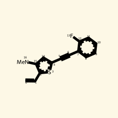 C=Cc1sc(C#Cc2ccccc2F)cc1NC